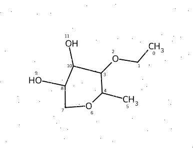 CCOC1C(C)OCC(O)C1O